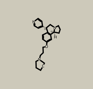 c1cc([C@@H]2CN3CCC[C@H]3c3cc(OCCCN4CCCCC4)ccc32)ccn1